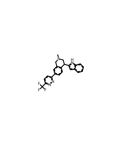 CN1Cc2cc(-c3ccc(C(F)(F)F)nn3)ccc2C(c2cc3ccccc3[nH]2)C1